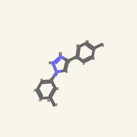 Cc1ccc(-c2cn(-c3cccc(C)c3)nn2)cc1